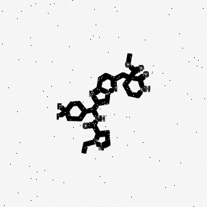 CCn1nccc1C(=O)NC(c1cn2nc(CC3(C(=O)OC)CCCNC3=O)ccc2n1)C1CCC(F)(F)CC1